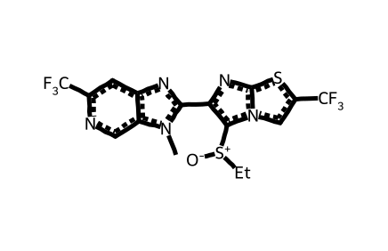 CC[S+]([O-])c1c(-c2nc3cc(C(F)(F)F)ncc3n2C)nc2sc(C(F)(F)F)cn12